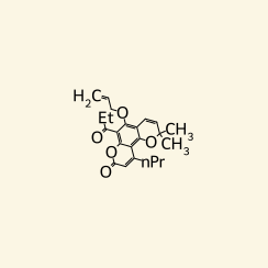 C=CCOc1c2c(c3c(CCC)cc(=O)oc3c1C(=O)CC)OC(C)(C)C=C2